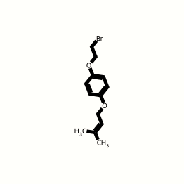 CC(C)=CCOc1ccc(OCCBr)cc1